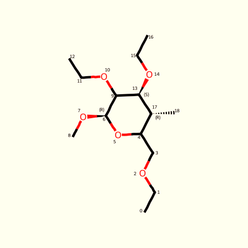 CCOCC1O[C@@H](OC)C(OCC)[C@@H](OCC)[C@@H]1C